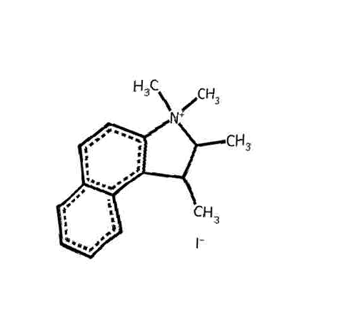 CC1c2c(ccc3ccccc23)[N+](C)(C)C1C.[I-]